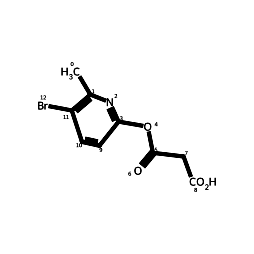 Cc1nc(OC(=O)CC(=O)O)ccc1Br